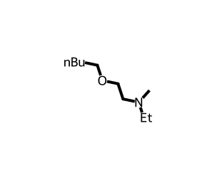 CCCCCOCCN(C)CC